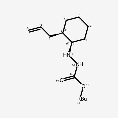 C=CC[C@H]1CCCC[C@H]1NNC(=O)OC(C)(C)C